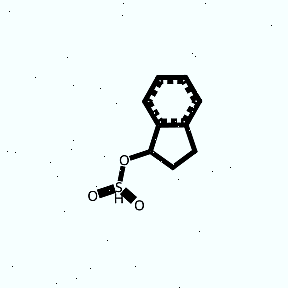 O=[SH](=O)OC1CCc2ccccc21